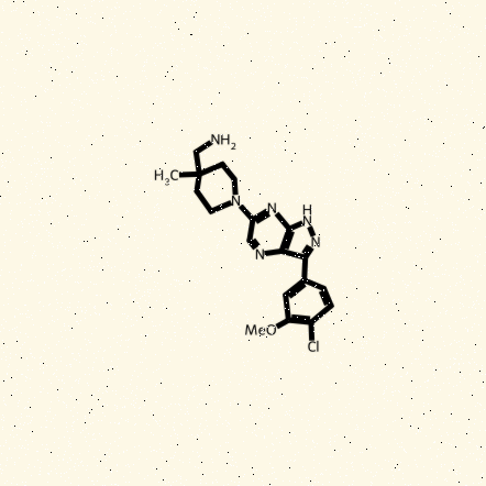 COc1cc(-c2n[nH]c3nc(N4CCC(C)(CN)CC4)cnc23)ccc1Cl